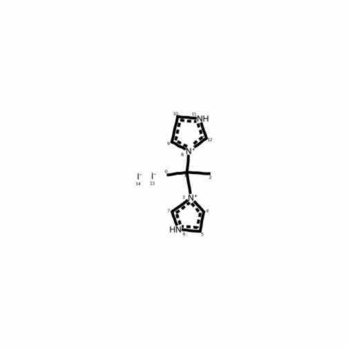 CC(C)([n+]1cc[nH]c1)[n+]1cc[nH]c1.[I-].[I-]